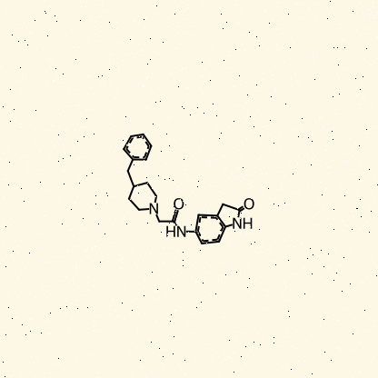 O=C(CN1CCC(Cc2ccccc2)CC1)Nc1ccc2c(c1)CC(=O)N2